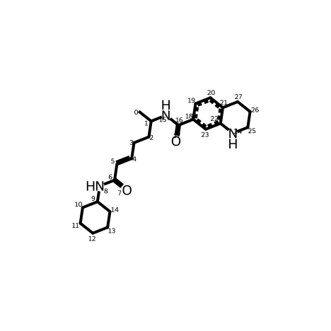 CC(CC/C=C/C(=O)NC1CCCCC1)NC(=O)c1ccc2c(c1)NCCC2